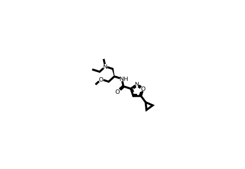 CCN(C)C[C@H](COC)NC(=O)c1cc(C2CC2)on1